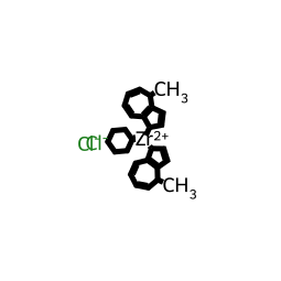 CC1C=CC=CC2=C1C=C[CH]2[Zr+2](=[C]1CCCCC1)[CH]1C=CC2=C1C=CC=CC2C.[Cl-].[Cl-]